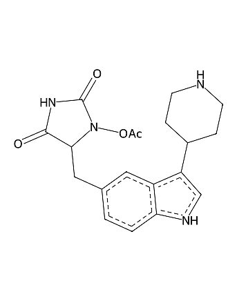 CC(=O)ON1C(=O)NC(=O)C1Cc1ccc2[nH]cc(C3CCNCC3)c2c1